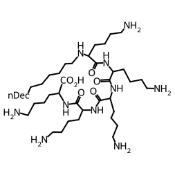 CCCCCCCCCCCCCCCCNC(CCCCN)C(=O)NC(CCCCN)C(=O)NC(CCCCN)C(=O)NC(CCCCN)C(=O)NC(CCCCN)C(=O)O